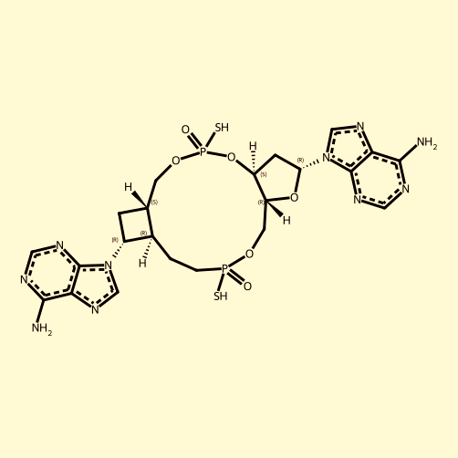 Nc1ncnc2c1ncn2[C@@H]1C[C@@H]2COP(=O)(S)O[C@H]3C[C@H](n4cnc5c(N)ncnc54)O[C@@H]3COP(=O)(S)CC[C@H]21